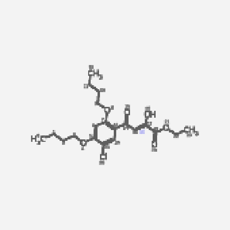 CCCCOc1cc(OCCCC)c(C(=O)/C=C(\O)C(=O)OCC)cc1Cl